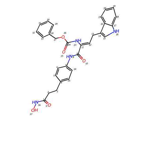 O=C(CCc1ccc(NC(=O)C(=CCc2c[nH]c3ccccc23)NC(=O)OCc2ccccc2)cc1)NO